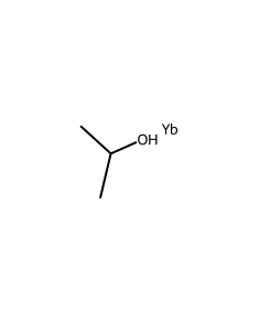 CC(C)O.[Yb]